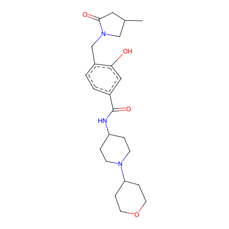 CC1CC(=O)N(Cc2ccc(C(=O)NC3CCN(C4CCOCC4)CC3)cc2O)C1